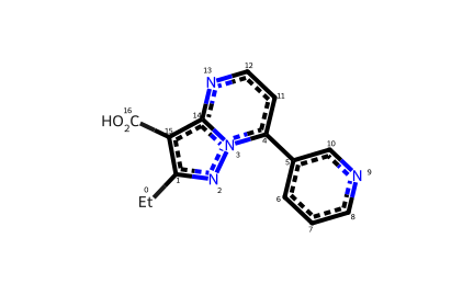 CCc1nn2c(-c3cccnc3)ccnc2c1C(=O)O